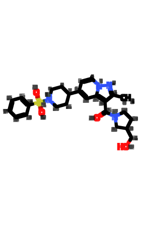 Cc1nn2ccc(C3CCN(S(=O)(=O)c4ccccc4)CC3)cc2c1C(=O)N1CCC(CO)C1